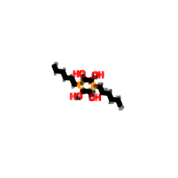 CCCCCCP1C(O)C(O)P(CCCCCC)C(O)C1O